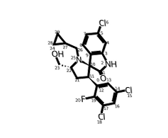 O=C1Nc2cc(Cl)ccc2[C@@]12[C@@H](c1cc(Cl)cc(Cl)c1F)C[C@H](CO)N2CC1CC1